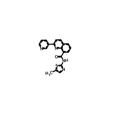 Cc1cnc(NC(=O)c2cccc3ccc(-c4cccnc4)nc23)s1